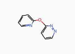 c1ccc(Oc2cccnn2)nc1